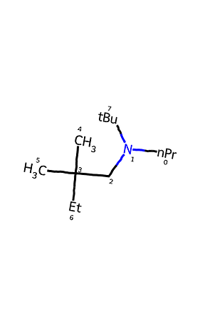 CCCN(CC(C)(C)CC)C(C)(C)C